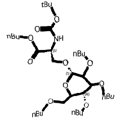 CCCCOCC1O[C@H](OC[C@H](NC(=O)OC(C)(C)C)C(=O)OCCCC)C(OCCCC)C(OCCCC)[C@@H]1OCCCC